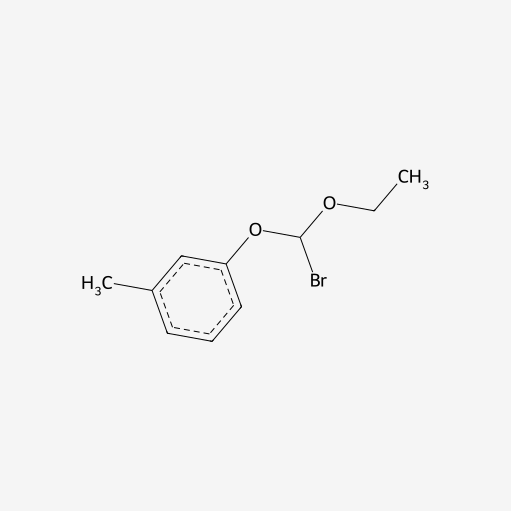 CCOC(Br)Oc1cccc(C)c1